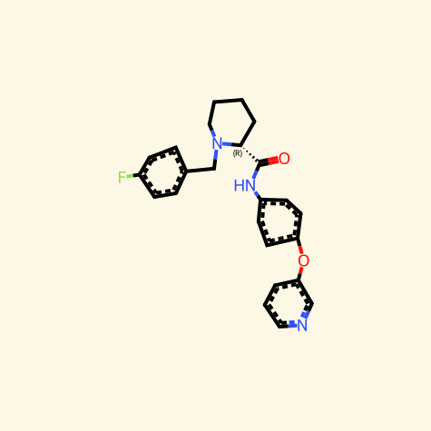 O=C(Nc1ccc(Oc2cccnc2)cc1)[C@H]1CCCCN1Cc1ccc(F)cc1